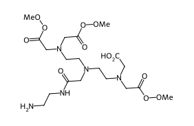 COOC(=O)CN(CCN(CCN(CC(=O)OOC)CC(=O)OOC)CC(=O)NCCN)CC(=O)O